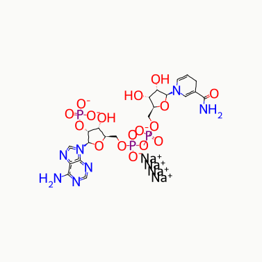 NC(=O)C1=CN([C@H]2O[C@@H](COP(=O)([O-])OP(=O)([O-])OC[C@H]3O[C@@H](n4cnc5c(N)ncnc54)[C@H](OP(=O)([O-])[O-])[C@@H]3O)[C@H](O)[C@@H]2O)C=CC1.[Na+].[Na+].[Na+].[Na+]